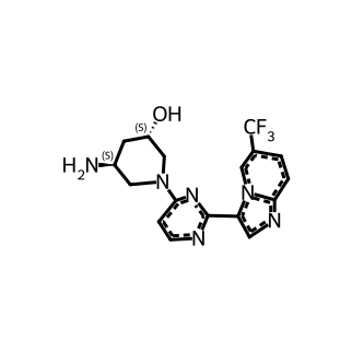 N[C@H]1C[C@H](O)CN(c2ccnc(-c3cnc4ccc(C(F)(F)F)cn34)n2)C1